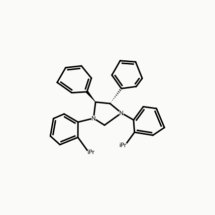 CC(C)c1ccccc1N1CN(c2ccccc2C(C)C)[C@@H](c2ccccc2)[C@@H]1c1ccccc1